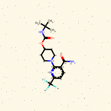 CC(C)(C)NC(=O)OC1CCN(c2nc(C(F)(F)F)ccc2C(N)=O)CC1